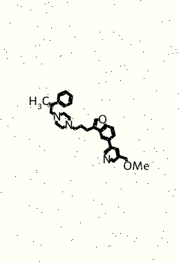 COCc1cncc(-c2ccc3occ(CCCN4CCN(C[C@H](C)c5ccccc5)CC4)c3c2)c1